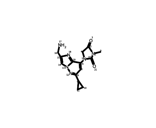 CN1C(=O)CN(c2cc(C3CC3)nn3cc(CN)nc23)C1=O